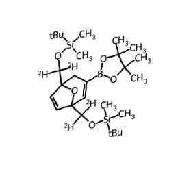 [2H]C([2H])(O[Si](C)(C)C(C)(C)C)C12C=CC(C([2H])([2H])O[Si](C)(C)C(C)(C)C)(CC(B3OC(C)(C)C(C)(C)O3)=C1)O2